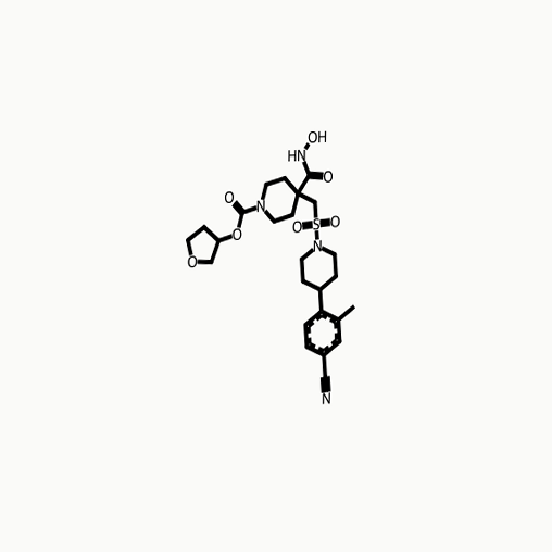 Cc1cc(C#N)ccc1C1CCN(S(=O)(=O)CC2(C(=O)NO)CCN(C(=O)OC3CCOC3)CC2)CC1